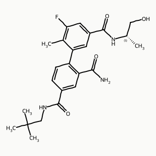 Cc1c(F)cc(C(=O)N[C@@H](C)CO)cc1-c1ccc(C(=O)NCC(C)(C)C)cc1C(N)=O